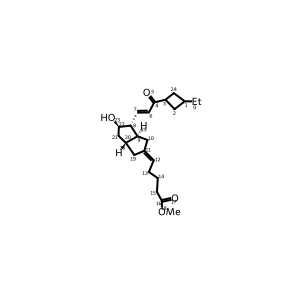 CCC1CC(C(=O)C=C[C@@H]2[C@H]3CC(=CCCCC(=O)OC)C[C@@H]3C[C@H]2O)C1